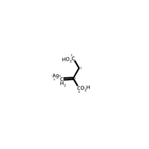 C=C(CC(=O)O)C(=O)O.[Ag]